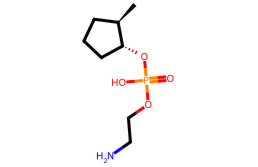 C[C@@H]1CCC[C@H]1OP(=O)(O)OCCN